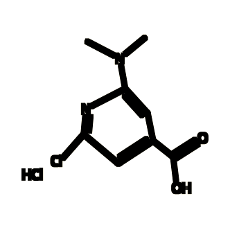 CN(C)c1cc(C(=O)O)cc(Cl)n1.Cl